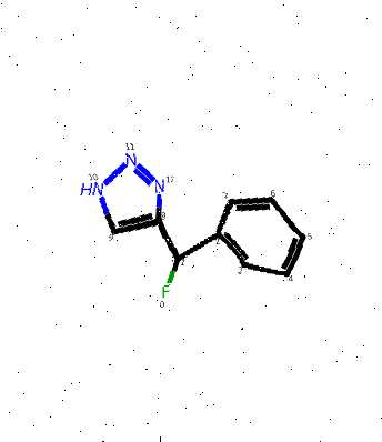 F[C](c1ccccc1)c1c[nH]nn1